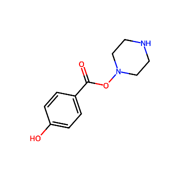 O=C(ON1CCNCC1)c1ccc(O)cc1